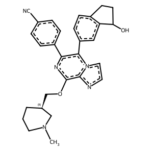 CN1CCC[C@@H](COc2nc(-c3ccc(C#N)cc3)c(-c3ccc4c(c3)C(O)CC4)n3ccnc23)C1